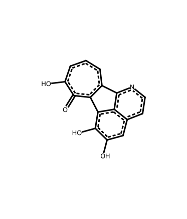 O=c1c(O)cccc2c1-c1c(O)c(O)cc3ccnc-2c13